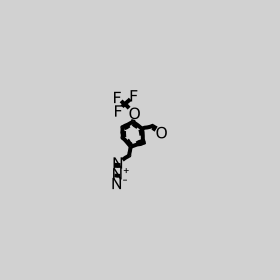 [N-]=[N+]=NCc1ccc(OC(F)(F)F)c(C=O)c1